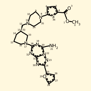 COC(=O)c1ccc(N2CCN(C[C@@H]3CCCN(c4nc(N)n5nc(-c6ccco6)nc5n4)C3)CC2)s1